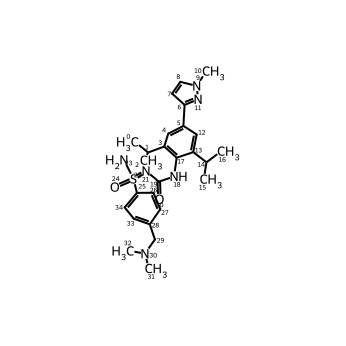 CC(C)c1cc(-c2ccn(C)n2)cc(C(C)C)c1NC(=O)N=S(N)(=O)c1ccc(CN(C)C)cc1